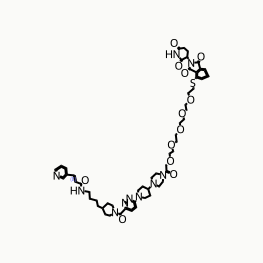 O=C(/C=C/c1cccnc1)NCCCCC1CCN(C(=O)c2ccc(N3CCC(N4CCN(C(=O)COCCOCCOCCOCCOCCSc5cccc6c5C(=O)N(C5CCC(=O)NC5=O)C6=O)CC4)CC3)nn2)CC1